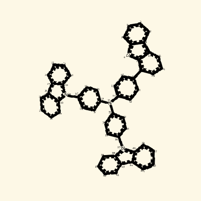 c1ccc2c(c1)oc1c(-c3ccc(N(c4ccc(-n5c6ccccc6c6ccccc65)cc4)c4ccc(-n5c6ccccc6c6ccccc65)cc4)cc3)cccc12